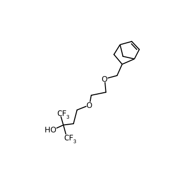 OC(CCOCCOCC1CC2C=CC1C2)(C(F)(F)F)C(F)(F)F